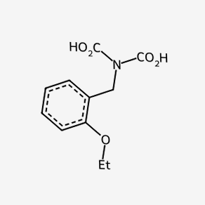 CCOc1ccccc1CN(C(=O)O)C(=O)O